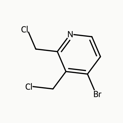 ClCc1nccc(Br)c1CCl